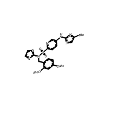 COc1ccc(CN(c2nccs2)S(=O)(=O)c2ccc(Nc3nc(C(C)(C)C)cs3)cn2)c(OC)c1